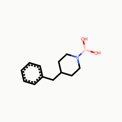 OB(O)N1CCC(Cc2ccccc2)CC1